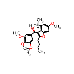 CCCCc1oc2cc(OC)cc([SiH](C)C)c2c1C(=O)c1cc(OC)c(OC)c(OC)c1